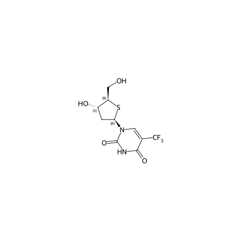 O=c1[nH]c(=O)n([C@H]2C[C@H](O)[C@@H](CO)S2)cc1C(F)(F)F